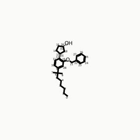 CCCCCCC(C)(C)c1ccc([C@H]2CC[C@H](O)C2)c(OCc2ccccc2)c1